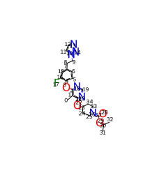 Cc1c(Oc2ccc(CCn3ccnn3)cc2F)ncnc1OC1CCN(C(=O)OC(C)C)CC1